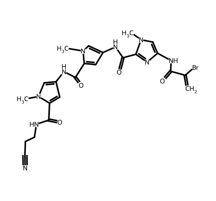 C=C(Br)C(=O)Nc1cn(C)c(C(=O)Nc2cc(C(=O)Nc3cc(C(=O)NCCC#N)n(C)c3)n(C)c2)n1